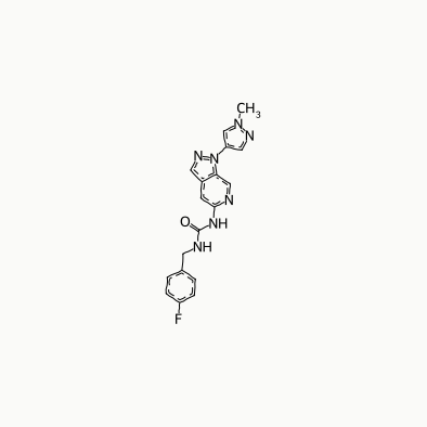 Cn1cc(-n2ncc3cc(NC(=O)NCc4ccc(F)cc4)ncc32)cn1